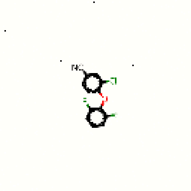 N#Cc1ccc(Oc2c(F)cccc2F)c(Cl)c1